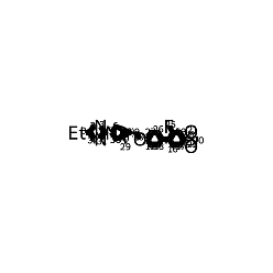 CCc1cnc(N2CC3[C@@H](COc4ccc(-c5ccc(S(C)(=O)=O)cc5F)cc4)[C@]3(C)C2)nc1